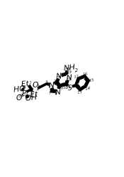 CCC(CC)(OCCn1cnc2c(Sc3ccccc3)nc(N)nc21)P(=O)(O)O